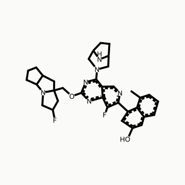 Cc1cccc2cc(O)cc(-c3ncc4c(N5CC6CCC(C5)N6)nc(OCC56CC(F)CN5C5CCCC5C6)nc4c3F)c12